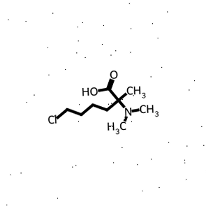 CN(C)C(C)(CCCCCl)C(=O)O